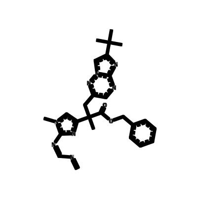 C=N/C=N\c1nc(C(C)(Cc2cnc3nc(C(C)(C)C)cn3n2)C(=O)OCc2ccccc2)cn1C